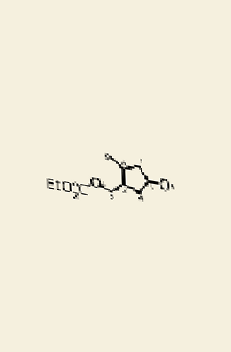 CCOC(=O)OCC1CC(=O)CC1C